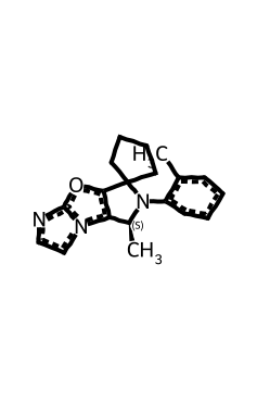 Cc1ccccc1N1[C@@H](C)c2c(oc3nccn23)C12CCCC2